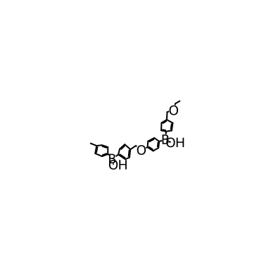 CCOCc1ccc(B(O)c2ccc(OCc3ccc(B(O)c4ccc(C)cc4)cc3)cc2)cc1